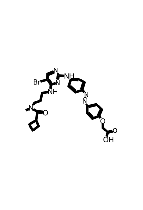 CN(CCCNc1nc(Nc2ccc(N=Nc3ccc(OCC(=O)O)cc3)cc2)ncc1Br)C(=O)C1CCC1